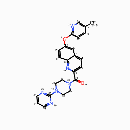 O=C(c1ccc2cc(Oc3ccc(C(F)(F)F)cn3)ccc2n1)N1CCN(c2ncccn2)CC1